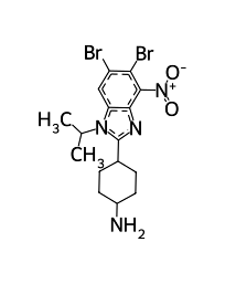 CC(C)n1c(C2CCC(N)CC2)nc2c([N+](=O)[O-])c(Br)c(Br)cc21